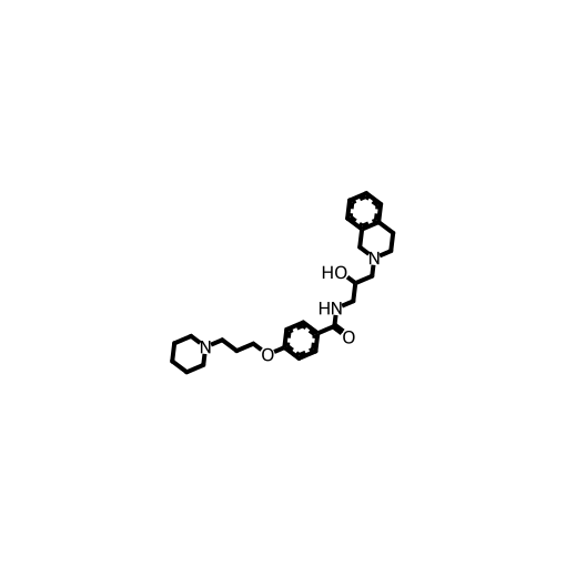 O=C(NCC(O)CN1CCc2ccccc2C1)c1ccc(OCCCN2CCCCC2)cc1